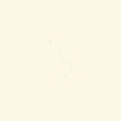 CO[C@@H]1OC(CSC(C)=O)[C@H](O)[C@H](O)C1O